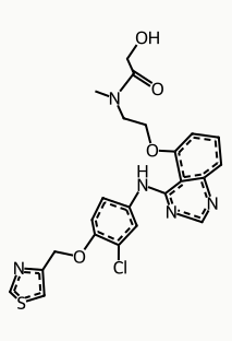 CN(CCOc1cccc2ncnc(Nc3ccc(OCc4cscn4)c(Cl)c3)c12)C(=O)CO